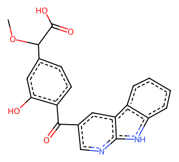 COC(C(=O)O)c1ccc(C(=O)c2cnc3[nH]c4ccccc4c3c2)c(O)c1